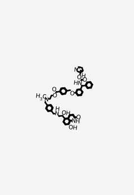 CN(CCOC(=O)c1ccc(COc2cccc(C(NC(=O)O[C@H]3CN4CCC3CC4)c3ccccc3)c2)cc1)Cc1ccc(CNC[C@H](O)c2ccc(O)c3[nH]c(=O)ccc23)cc1